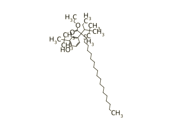 CCCCCCCCCCCCCCCCCCSC(C(=O)OCC)(c1ccc(O)c(C(C)(C)C)c1)C(CC)C(C)(C)C